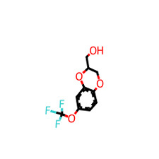 OCC1COc2ccc(OC(F)(F)F)cc2O1